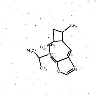 CC1CC(C)C1/C=C1/N=CO/C1=[N+](/C)C(C)C